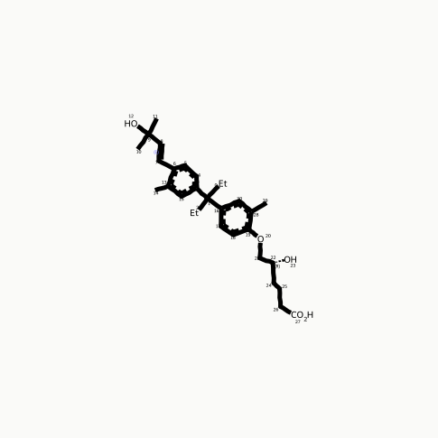 CCC(CC)(c1ccc(/C=C/C(C)(C)O)c(C)c1)c1ccc(OC[C@H](O)CCCC(=O)O)c(C)c1